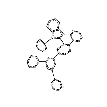 c1ccc(-n2c(-c3cc(-c4cc(-c5cccnc5)cc(-c5cccnc5)c4)ccc3-c3cccnc3)nc3ccccc32)cc1